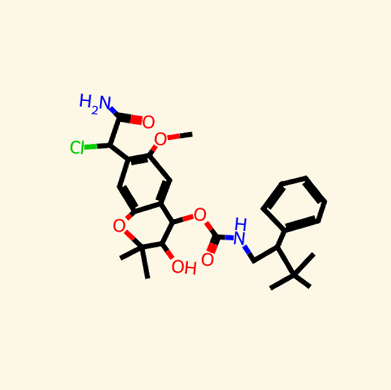 COc1cc2c(cc1C(Cl)C(N)=O)OC(C)(C)C(O)C2OC(=O)NCC(c1ccccc1)C(C)(C)C